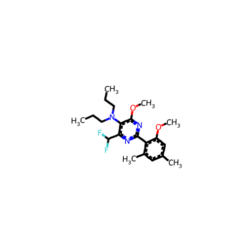 CCCN(CCC)c1c(OC)nc(-c2c(C)cc(C)cc2OC)nc1C(F)F